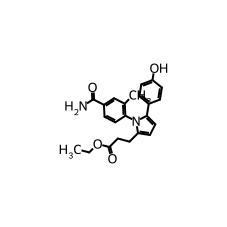 CCOC(=O)CCc1ccc(-c2ccc(O)cc2)n1-c1ccc(C(N)=O)cc1C